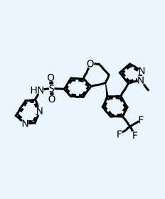 Cn1nccc1-c1cc(C(F)(F)F)ccc1[C@@H]1CCOc2cc(S(=O)(=O)Nc3ccncn3)ccc21